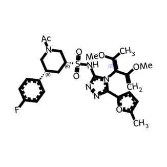 C=C(OC)/C(=C(\C)OC)n1c(NS(=O)(=O)[C@@H]2C[C@H](c3ccc(F)cc3)CN(C(C)=O)C2)nnc1-c1ccc(C)o1